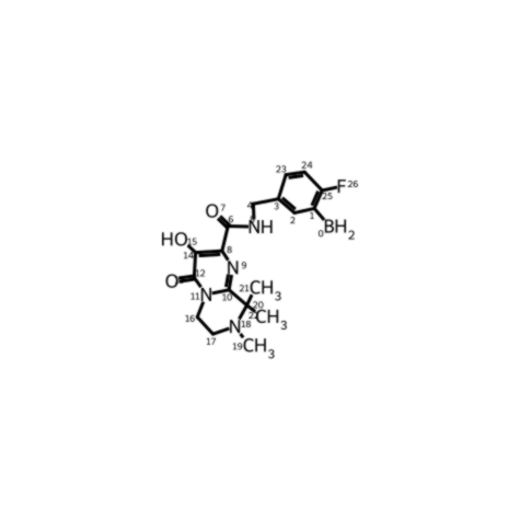 Bc1cc(CNC(=O)c2nc3n(c(=O)c2O)CCN(C)C3(C)C)ccc1F